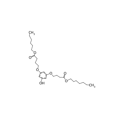 CCCCCCCOC(=O)CCCOc1cc(O)cc(OCCCC(=O)OCCCCCC)c1